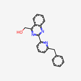 OCc1nc(-c2cccc(Cc3ccccc3)n2)nc2ccccc12